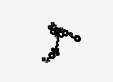 Cc1ccc(S(=O)(=O)OCCCCC[C@@H]2Cc3cc(OCc4ccccc4)ccc3[C@H]3CC[C@]4(C)C(=O)CC[C@H]4[C@H]23)cc1